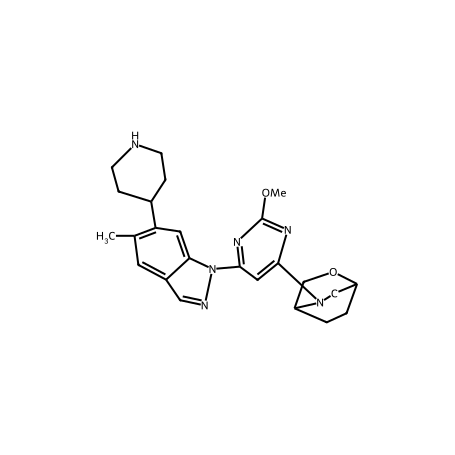 COc1nc(N2CC3CCC2CO3)cc(-n2ncc3cc(C)c(C4CCNCC4)cc32)n1